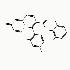 O=C(Nc1c(F)cccc1F)c1ccc2cc(=O)ccn2c1-c1ccc(F)cc1F